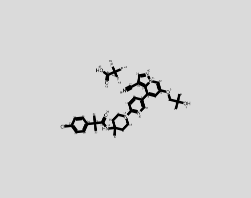 CC(C)(O)COc1cc(-c2ccc(N3CCC(C)(NC(=O)C(C)(C)c4ccc(Cl)cc4)CC3)nc2)c2c(C#N)cnn2c1.O=C(O)C(F)(F)F